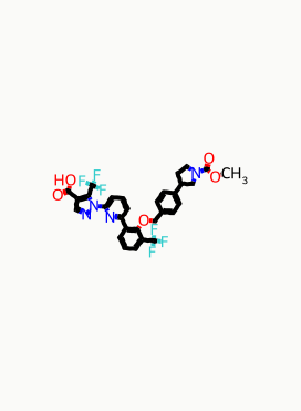 COC(=O)N1CCC(c2ccc(COc3c(-c4cccc(-n5ncc(C(=O)O)c5C(F)(F)F)n4)cccc3C(F)(F)F)cc2)C1